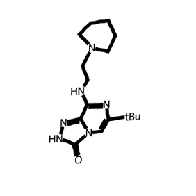 CC(C)(C)c1cn2c(=O)[nH]nc2c(NCCN2CCCCC2)n1